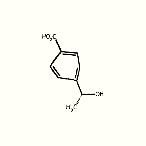 C[C@@H](O)c1ccc(C(=O)O)cc1